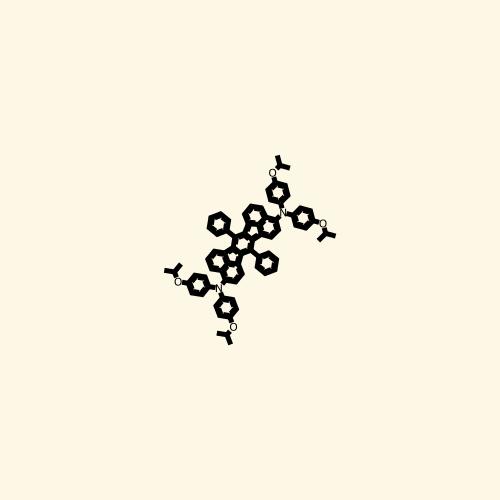 CC(C)Oc1ccc(N(c2ccc(OC(C)C)cc2)c2ccc3c4c(-c5ccccc5)c5c6ccc(N(c7ccc(OC(C)C)cc7)c7ccc(OC(C)C)cc7)c7cccc(c5c(-c5ccccc5)c4c4cccc2c43)c76)cc1